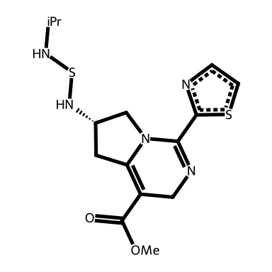 COC(=O)C1=C2C[C@H](NSNC(C)C)CN2C(c2nccs2)=NC1